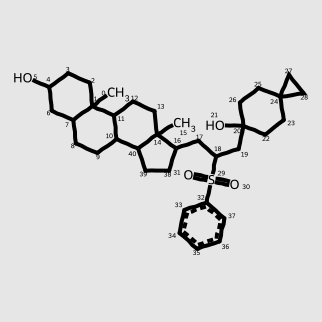 CC12CCC(O)CC1CCC1C2CCC2(C)C(CC(CC3(O)CCC4(CC3)CC4)S(=O)(=O)c3ccccc3)CCC12